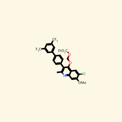 CCOC(=O)OCOc1c(-c2ccc(-c3cc(C(F)(F)F)cc(C(F)(F)F)c3)cc2)c(C)nc2cc(OC)c(Cl)cc12